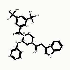 O=C(Cc1c[nH]c2ccccc12)N1CCN(C(=O)c2cc(C(F)(F)F)cc(C(F)(F)F)c2)[C@H](Cc2ccccc2)C1